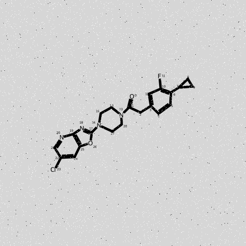 O=C(Cc1ccc(C2CC2)c(F)c1)N1CCN(c2nc3ncc(Cl)cc3o2)CC1